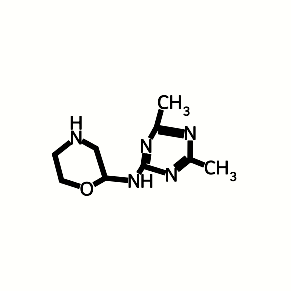 Cc1nc(C)nc(NC2CNCCO2)n1